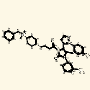 Cc1c(-c2ccnn2-c2ccc(C#N)cc2)n(C(=O)CCC[C@H]2CC[C@@H]([N+](C)(C)Cc3ccccc3)CC2)c(=O)n1-c1cccc(C(F)(F)F)c1